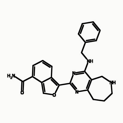 NC(=O)c1cccc2c(-c3nc4c(c(NCc5ccccc5)n3)CNCCC4)occ12